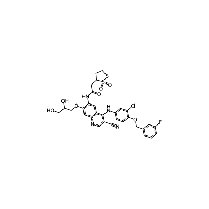 N#Cc1cnc2cc(OCC(O)CO)c(NC(=O)CC3CCSS3(=O)=O)cc2c1Nc1ccc(OCc2cccc(F)c2)c(Cl)c1